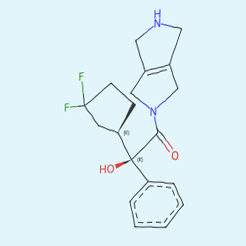 O=C(N1CC2=C(CNC2)C1)[C@](O)(c1ccccc1)[C@@H]1CCC(F)(F)C1